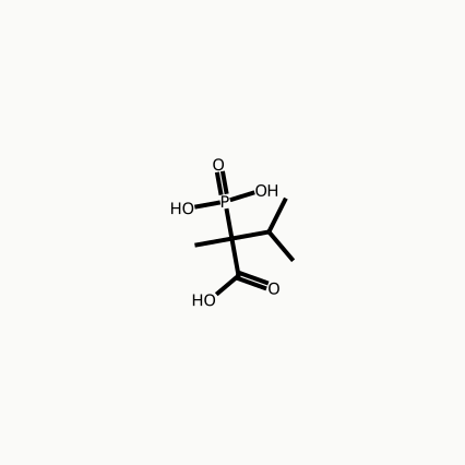 CC(C)C(C)(C(=O)O)P(=O)(O)O